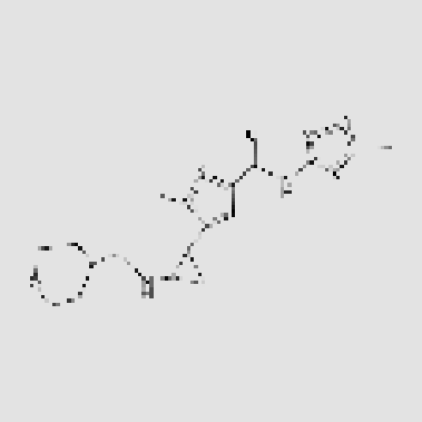 Cc1nnc(NC(=O)c2cc(C3CC3NCC3CCOCC3)c(C)s2)s1